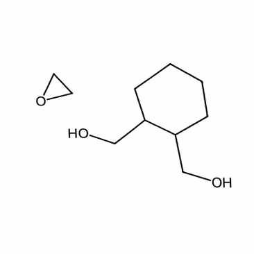 C1CO1.OCC1CCCCC1CO